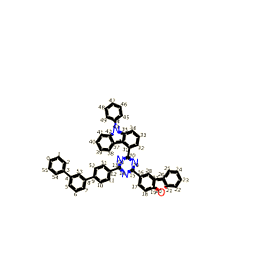 c1ccc(-c2cccc(-c3ccc(-c4nc(-c5ccc6oc7ccccc7c6c5)nc(-c5cccc6c5c5ccccc5n6-c5ccccc5)n4)cc3)c2)cc1